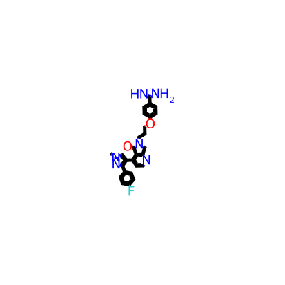 Cn1cc(-c2ccnc3c2C(=O)N(CCCOc2ccc(C(=N)N)cc2)C3)c(-c2ccc(F)cc2)n1